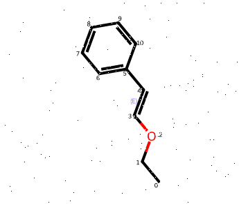 CCO/[C]=C/c1ccccc1